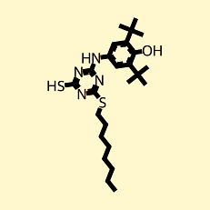 CCCCCCCCSc1nc(S)nc(Nc2cc(C(C)(C)C)c(O)c(C(C)(C)C)c2)n1